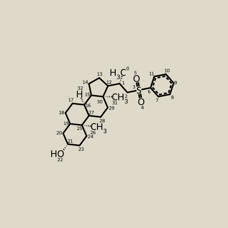 C[C@H](CS(=O)(=O)c1ccccc1)C1CCC2[C@@H]3CCC4C[C@@H](O)CC[C@]4(C)C3CC[C@@]21C